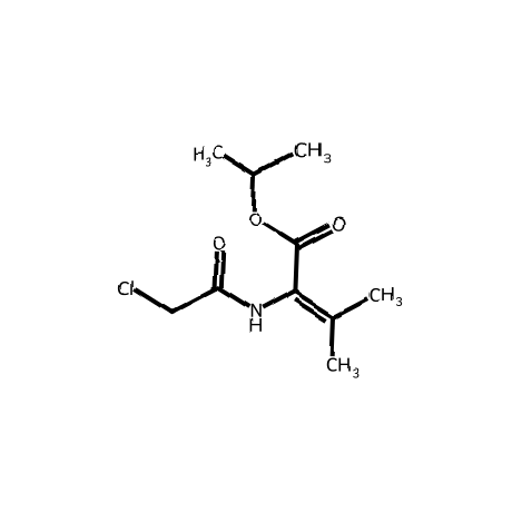 CC(C)=C(NC(=O)CCl)C(=O)OC(C)C